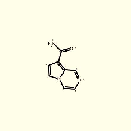 NC(=O)c1ccn2ccncc12